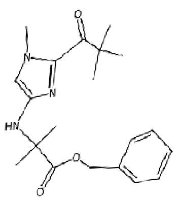 Cn1cc(NC(C)(C)C(=O)OCc2ccccc2)nc1C(=O)C(C)(C)C